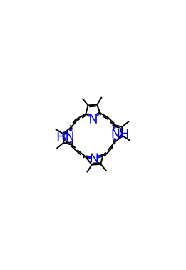 CC1=C(C)c2cc3[nH]c(cc4nc(cc5[nH]c(cc1n2)c(C)c5C)C(C)=C4C)c(C)c3C